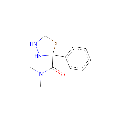 CN(C)C(=O)C1(c2ccccc2)NN[CH]S1